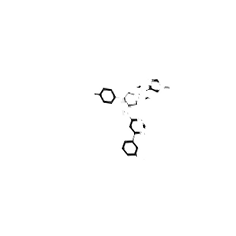 Cn1cnc(S(=O)(=O)N2C[C@H](Nc3cc(-c4cccc(Cl)c4)ncn3)[C@@H](c3ccc(F)cc3)C2)c1